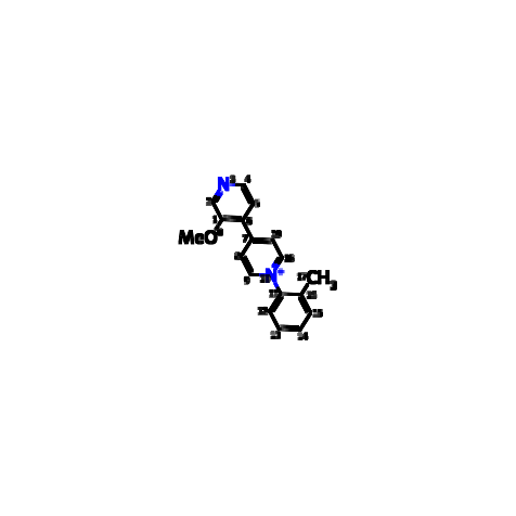 COc1cnccc1-c1cc[n+](-c2ccccc2C)cc1